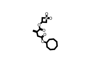 C=C(CC(=O)OC1CCCCCCC1)C(=O)OC1CS(=O)(=O)C1